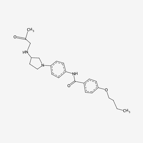 CCCCOc1ccc(C(=O)Nc2ccc(N3CCC(NCC(C)=O)C3)cc2)cc1